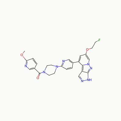 COc1ccc(C(=O)N2CCN(c3ccc(-c4cc(OCCF)cn5nc6[nH]ncc6c45)cn3)CC2)cn1